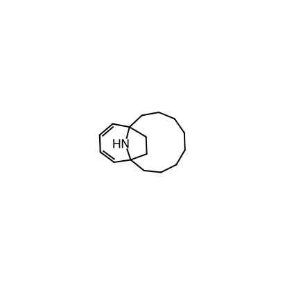 C1=CC23CCCCCCCCC(C=C1)(CC2)N3